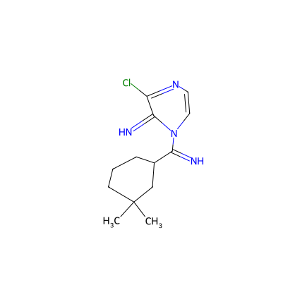 CC1(C)CCCC(C(=N)n2ccnc(Cl)c2=N)C1